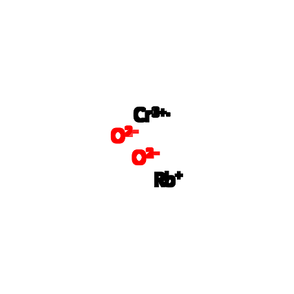 [Cr+3].[O-2].[O-2].[Rb+]